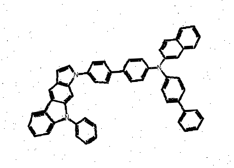 c1ccc(-c2ccc(N(c3ccc(-c4ccc(-n5ccc6cc7c8ccccc8n(-c8ccccc8)c7cc65)cc4)cc3)c3ccc4ccccc4c3)cc2)cc1